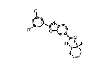 O=C(NC1CCCCC1(F)F)c1ccc2nc(-c3cc(Cl)cc(Cl)c3)oc2c1